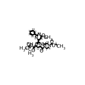 CCOC(=O)N1CCN(C(=O)C(CCC(=O)OC(C)(C)C)NC(=O)c2cc(OC)nc(-c3ccccc3)n2)CC1